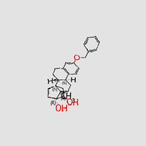 C[C@]12CC[C@@H]3c4ccc(OCc5ccccc5)cc4CC[C@H]3[C@@]13CC[C@]2(O)[C@H](O)C3